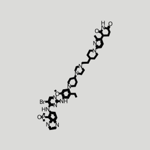 CCc1cc(Nc2ncc(Br)c(Nc3ccc4nccnc4c3P(C)(C)=O)n2)c(OC)cc1N1CCC(N2CCN(CCC3CCN(c4ccc(C5CCC(=O)NC5=O)c(C)n4)CC3)CC2)CC1